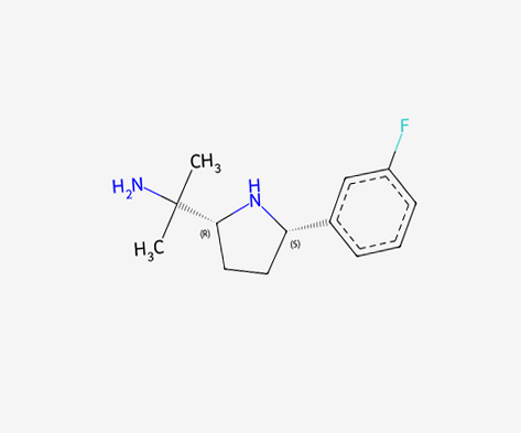 CC(C)(N)[C@H]1CC[C@@H](c2cccc(F)c2)N1